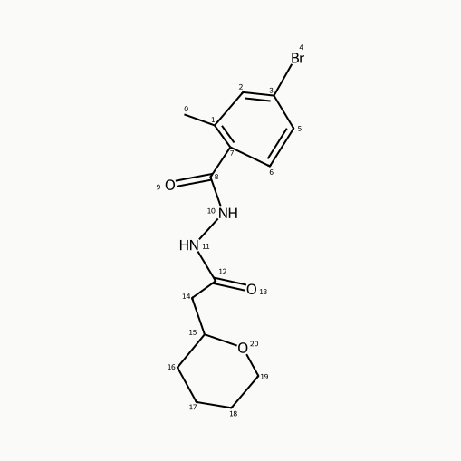 Cc1cc(Br)ccc1C(=O)NNC(=O)CC1CCCCO1